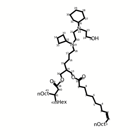 CCCCCCCC/C=C\CCCCCCCC(=O)OCC(CCCCN(CCN(CCO)C1CCCCC1)C1CCC1)COC(=O)CC(CCCCCC)CCCCCCCC